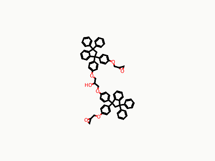 OC(COc1ccc(C2(c3ccc(OCC4CO4)cc3)CC(c3ccccc3)(c3ccccc3)c3ccccc32)cc1)COc1ccc(C2(c3ccc(OCC4CO4)cc3)CC(c3ccccc3)(c3ccccc3)c3ccccc32)cc1